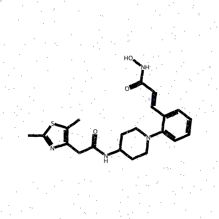 Cc1nc(CC(=O)NC2CCN(c3ccccc3/C=C/C(=O)NO)CC2)c(C)s1